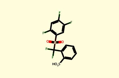 O=S(=O)(O)c1ccccc1C(F)(F)S(=O)(=O)c1cc(F)c(F)cc1F